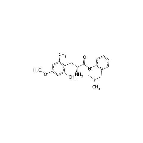 COc1cc(C)c(C[C@H](N)C(=O)N2CC(C)Cc3ccccc32)c(C)c1